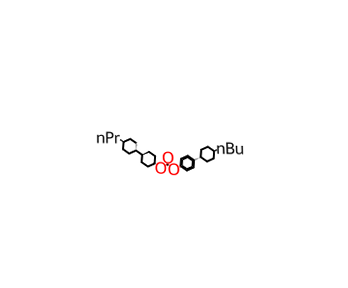 CCCC[C@H]1CC[C@H](c2ccc(OC(=O)O[C@H]3CC[C@H]([C@H]4CC[C@H](CCC)CC4)CC3)cc2)CC1